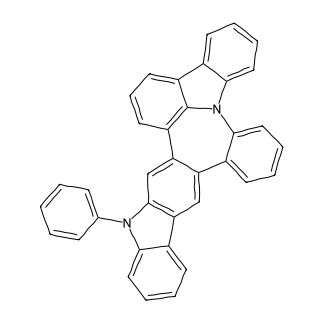 c1ccc(-n2c3ccccc3c3cc4c(cc32)-c2cccc3c5ccccc5n(c23)-c2ccccc2-4)cc1